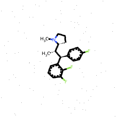 C[C@@H]([C@@H](c1ccc(F)cc1)c1cccc(F)c1F)[C@H]1CCCN1C